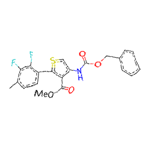 COC(=O)c1c(NC(=O)OCc2ccccc2)csc1-c1ccc(C)c(F)c1F